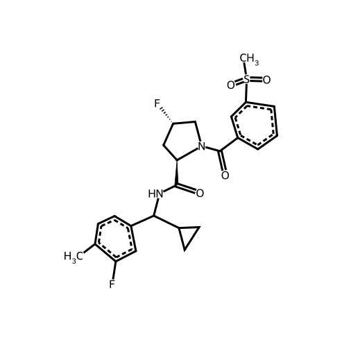 Cc1ccc(C(NC(=O)[C@H]2C[C@H](F)CN2C(=O)c2cccc(S(C)(=O)=O)c2)C2CC2)cc1F